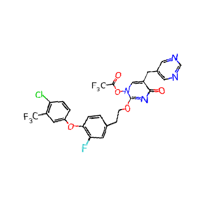 O=C(On1cc(Cc2cncnc2)c(=O)nc1OCCc1ccc(Oc2ccc(Cl)c(C(F)(F)F)c2)c(F)c1)C(F)(F)F